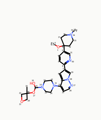 CCOC1(c2ccc(-c3cc4c(N5CCN(C(O)OC6(C)COC6)CC5)ccnn4c3)nc2)CCN(C(C)C)CC1